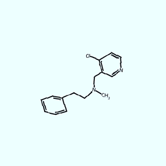 CN(CCc1ccccc1)Cc1cnccc1Cl